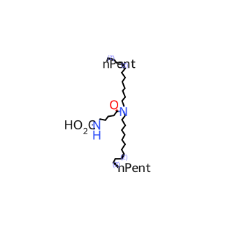 CCCCC/C=C\C/C=C\CCCCCCCCN(CCCCCCCC/C=C\C/C=C\CCCCC)C(=O)CCCCNC(=O)O